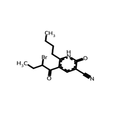 CCCCc1[nH]c(=O)c(C#N)cc1C(=O)C(Br)CC